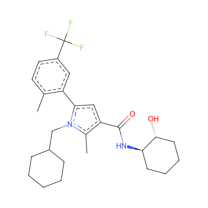 Cc1ccc(C(F)(F)F)cc1-c1cc(C(=O)N[C@@H]2CCCC[C@H]2O)c(C)n1CC1CCCCC1